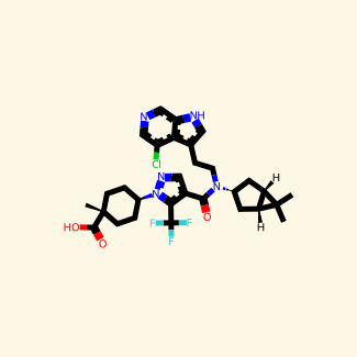 CC1(C)[C@@H]2C[C@H](N(CCc3c[nH]c4cncc(Cl)c34)C(=O)c3cnn([C@H]4CC[C@](C)(C(=O)O)CC4)c3C(F)(F)F)C[C@@H]21